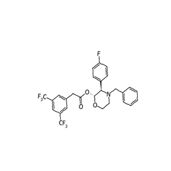 O=C(Cc1cc(C(F)(F)F)cc(C(F)(F)F)c1)O[C@H]1OCCN(Cc2ccccc2)[C@@H]1c1ccc(F)cc1